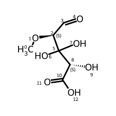 CO[C@@H](C=O)C(O)(O)[C@H](O)C(=O)O